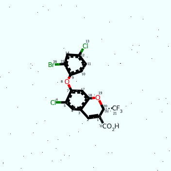 O=C(O)C1=Cc2cc(Cl)c(Oc3ccc(Cl)cc3Br)cc2O[C@@H]1C(F)(F)F